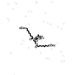 CCCCCCCCCCCCCCCCCC(=O)OCC(COC(=O)CCCCCCCCCCCCCCCCC)OP(=O)(O)OC(C)N